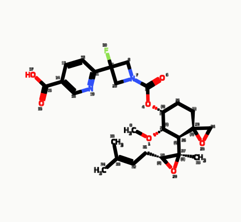 CO[C@@H]1[C@H](OC(=O)N2CC(F)(c3ccc(C(=O)O)cn3)C2)CC[C@]2(CO2)[C@H]1[C@@]1(C)O[C@@H]1CC=C(C)C